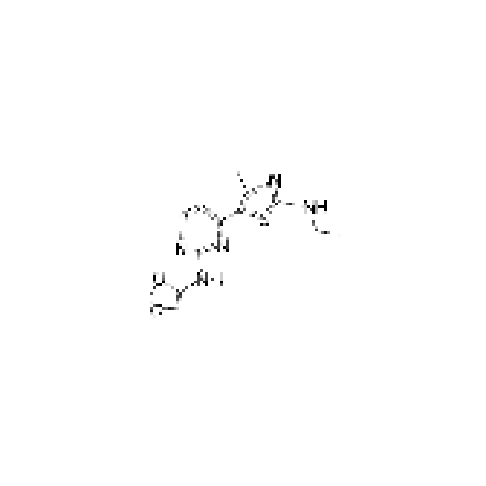 CCNc1nc(C)c(-c2ccnc(NC3=COCO3)n2)s1